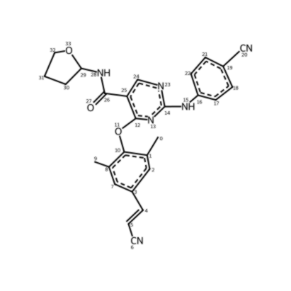 Cc1cc(/C=C/C#N)cc(C)c1Oc1nc(Nc2ccc(C#N)cc2)ncc1C(=O)NC1CCCO1